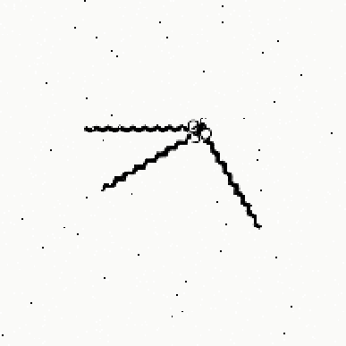 CCCCCCCCCCCCCCCCCCOP(=S)(OCCCCCCCCCCCCCCCCCC)SCCCCCCCCCCCCCCCCCC